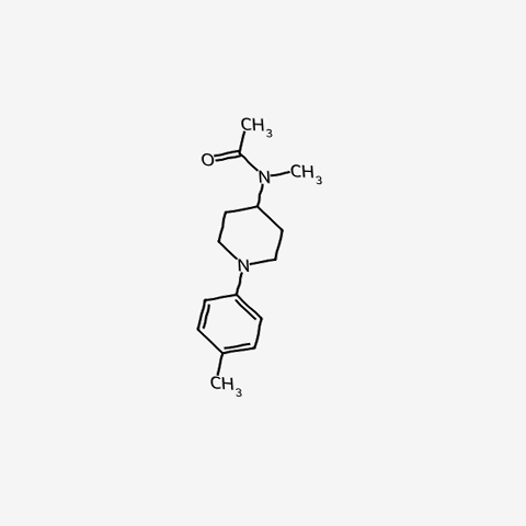 CC(=O)N(C)C1CCN(c2ccc(C)cc2)CC1